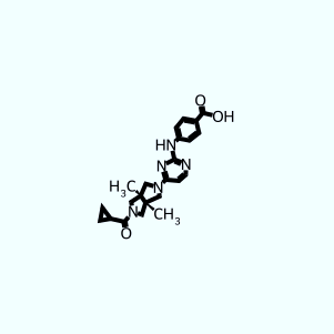 C[C@@]12CN(C(=O)C3CC3)C[C@]1(C)CN(c1ccnc(Nc3ccc(C(=O)O)cc3)n1)C2